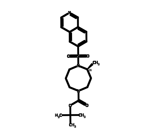 C[C@H]1CCN(C(=O)OC(C)(C)C)CCCN1S(=O)(=O)c1ccc2cnccc2c1